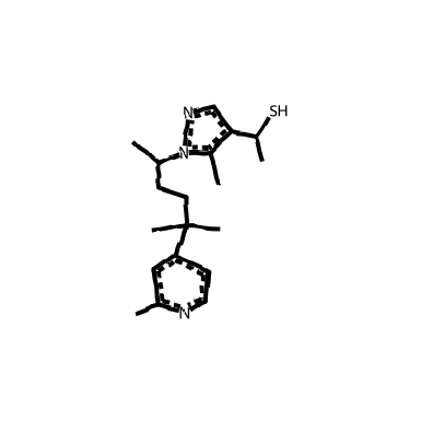 Cc1cc(C(C)(C)CCC(C)n2ncc(C(C)S)c2C)ccn1